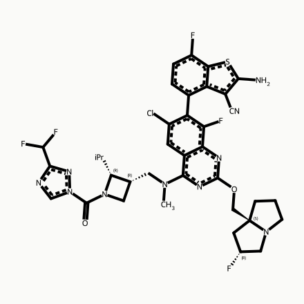 CC(C)[C@@H]1[C@H](CN(C)c2nc(OC[C@@]34CCCN3C[C@H](F)C4)nc3c(F)c(-c4ccc(F)c5sc(N)c(C#N)c45)c(Cl)cc23)CN1C(=O)n1cnc(C(F)F)n1